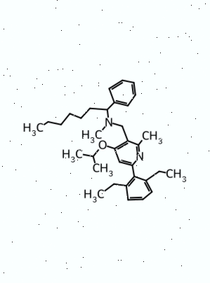 CCCCCCC(c1ccccc1)N(C)Cc1c(OC(C)C)cc(-c2c(CC)cccc2CC)nc1C